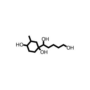 CC1CC(O)(C(O)CCCCO)CCC1O